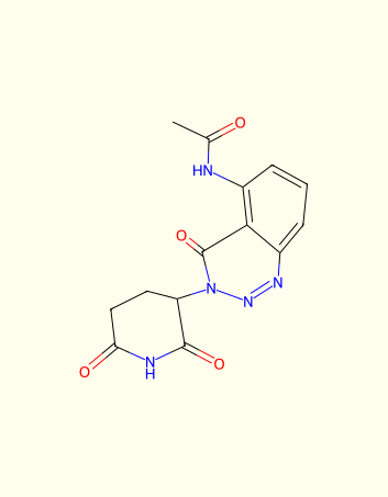 CC(=O)Nc1cccc2nnn(C3CCC(=O)NC3=O)c(=O)c12